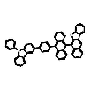 c1ccc(-n2c3ccccc3c3cc(-c4ccc(-c5c6ccccc6c(-c6c7ccccc7cc7c6oc6ccccc67)c6ccccc56)cc4)ccc32)cc1